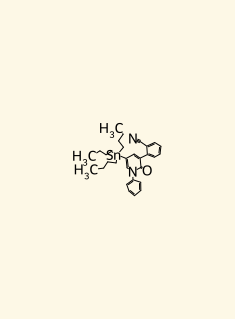 CCC[CH2][Sn]([CH2]CCC)([CH2]CCC)[c]1cc(-c2ccccc2C#N)c(=O)n(-c2ccccc2)c1